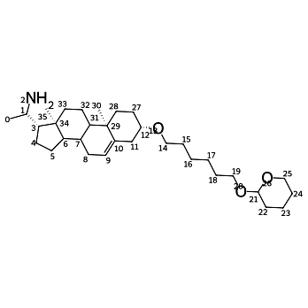 CC(N)[C@H]1CCC2C3CC=C4C[C@@H](OCCCCCCOC5CCCCO5)CC[C@]4(C)C3CC[C@@]21C